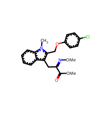 CON=C(Cc1c(COc2ccc(Cl)cc2)n(C)c2ccccc12)C(=O)OC